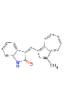 Cc1cc(C=C2C(=O)Nc3ccccc32)c2cccccc1-2